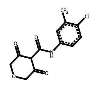 O=C1COCC(=O)C1C(=O)Nc1ccc(Cl)c(C(F)(F)F)c1